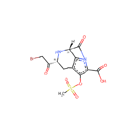 CS(=O)(=O)Oc1c2c3n(c1C(=O)O)C(=O)[C@H]3N[C@@H](C(=O)CBr)C2